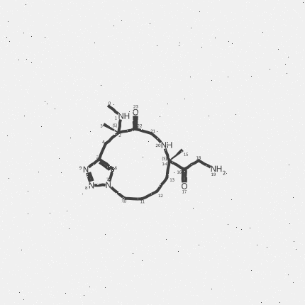 CN[C@@]1(C)Cc2cn(nn2)CCCC[C@@](C)(C(=O)CN)NCC1=O